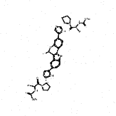 COC(=O)NC(C(=O)N1CCC[C@H]1c1ncc(-c2ccc3[nH]c4c(c3c2)C(C(C)C)Oc2cc(-c3cnc([C@@H]5CCCN5C(=O)[C@@H](NC(=O)OC)C(C)C)[nH]3)ccc2-4)[nH]1)C(C)C